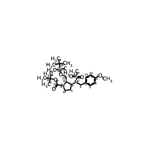 COc1ccc(CN([C@H]2CCN(C(=O)OC(C)(C)C)[C@H]2CO[Si](C)(C)C(C)(C)C)S(C)(=O)=O)cc1